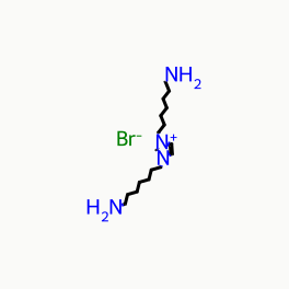 NCCCCCCCn1cc[n+](CCCCCCCN)c1.[Br-]